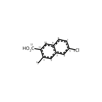 [CH2]c1cc2cc(Cl)ccc2cc1C(=O)O